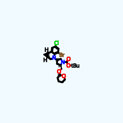 CC(C)(C)OC(=O)N1C[C@@H](N2C[C@H]3C[C@@H]3c3cc(Cl)cc(Br)c32)C[C@H]1CO[C@H]1CCCCO1